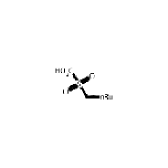 CCCCCS(=O)(=O)C(=O)O